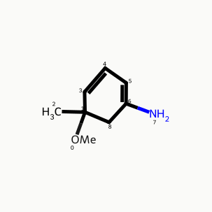 COC1(C)C=CC=C(N)C1